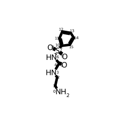 NCCNC(=O)NS(=O)(=O)c1ccccc1